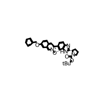 CC(C)(C)OC(=O)N1CCC[C@H]1c1nc2ccc(-c3cc4ccc(OCc5ccccc5)cc4c[n+]3[O-])cc2[nH]1